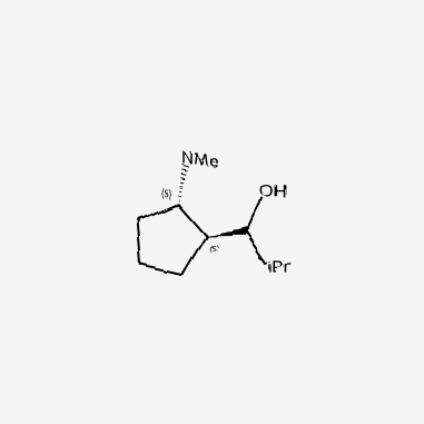 CN[C@H]1CCC[C@@H]1C(O)C(C)C